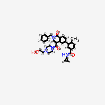 Cc1ccc(C(=O)NC2CC2)cc1-c1ccc2c(=O)n(Cc3ccccc3)cc(C(=O)N3CCN(CCO)CC3)c2c1